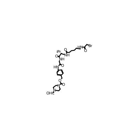 CC(C)C(NC(=O)CCCCCNC(=O)CBr)C(=O)NCC(=O)Nc1ccc(COC(=O)N2CCN(C=O)CC2)cc1